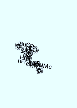 CCCC(NC(=O)C1C[C@@H](SCc2ccccc2)CN1C(=O)C(NC(=O)OCC(C)C)C1CCCCC1)C(=O)C(=O)NCC(=O)NC(C(=O)NC)c1ccccc1